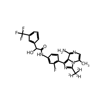 [2H]C([2H])([2H])c1nc(-c2ccc(NC(=O)C(O)c3cccc(C(F)(F)F)c3)cc2F)c2c(N)ncc(C)n12